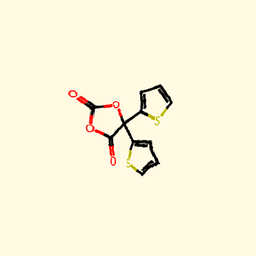 O=C1OC(=O)C(c2cccs2)(c2cccs2)O1